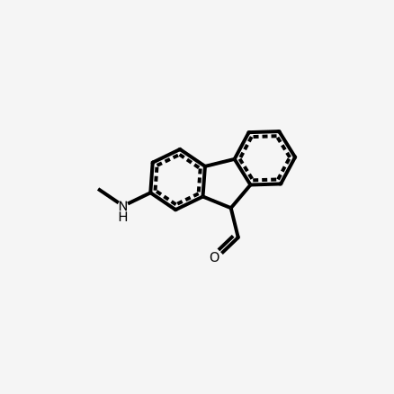 CNc1ccc2c(c1)C(C=O)c1ccccc1-2